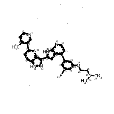 Cc1ccncc1-c1ccc2[nH]nc(-c3cc4c(-c5cc(F)cc(OCCN(C)C)c5)ccnc4[nH]3)c2n1